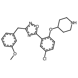 COc1cccc(Cc2noc(-c3cc(Cl)ccc3OC3CCNCC3)n2)c1